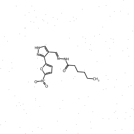 CCCCCC(=O)NN=Cc1c[nH]nc1-c1ccc([N+](=O)[O-])o1